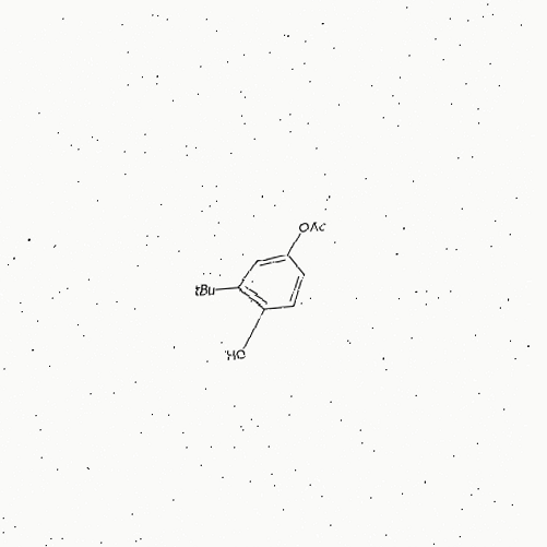 CC(=O)Oc1ccc(O)c(C(C)(C)C)c1